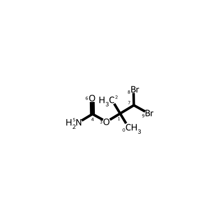 CC(C)(OC(N)=O)C(Br)Br